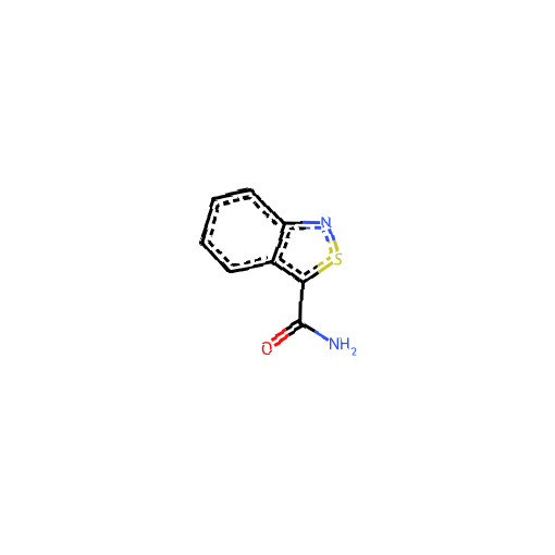 NC(=O)c1snc2ccccc12